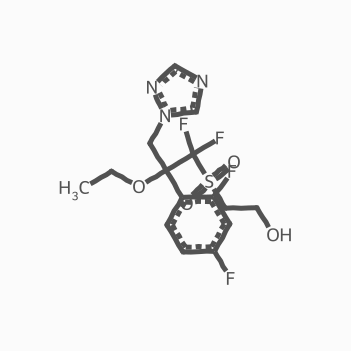 CCOC(Cn1cncn1)(c1ccc(F)cc1F)C(F)(F)S(=O)(=O)CCO